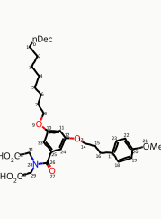 CCCCCCCCCCCCCCCCCCOc1cc(OCCCc2ccc(OC)cc2)cc(C(=O)N(CC(=O)O)CC(=O)O)c1